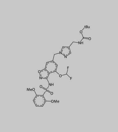 COc1cccc(OC)c1S(=O)(=O)Nc1noc2cc(Cn3cc(CNC(=O)OC(C)(C)C)cn3)cc(OC(F)F)c12